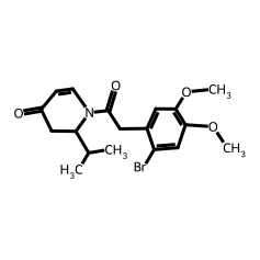 COc1cc(Br)c(CC(=O)N2C=CC(=O)CC2C(C)C)cc1OC